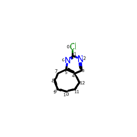 Clc1ncc2c(n1)CCCCCC2